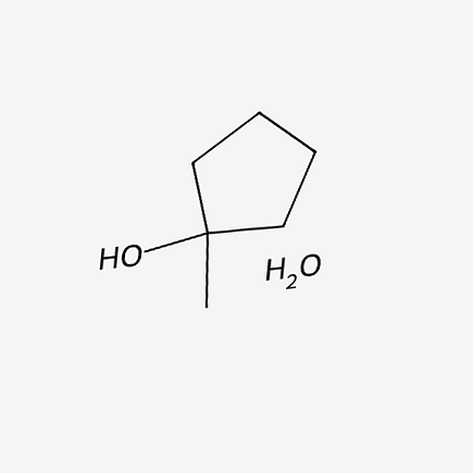 CC1(O)CCCC1.O